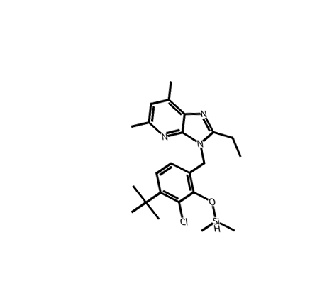 CCc1nc2c(C)cc(C)nc2n1Cc1ccc(C(C)(C)C)c(Cl)c1O[SiH](C)C